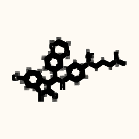 CC(=O)N(CCCN(C)C)c1ccc(N/C(=C2\C(=O)Nc3cc(Cl)ccc32)c2ccc3c(c2)OC=CO3)cc1